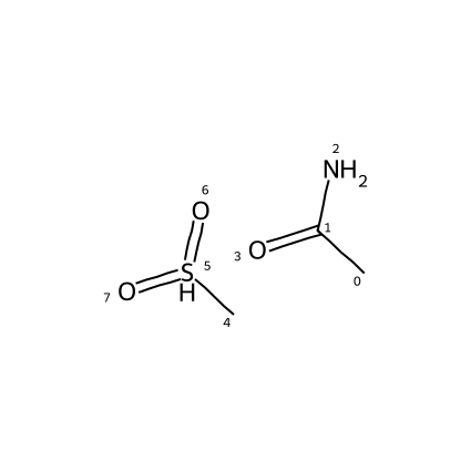 CC(N)=O.C[SH](=O)=O